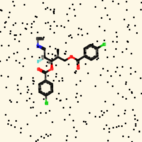 CON=C[C@@H](F)[C@H](OC(=O)c1ccc(Cl)cc1)[C@@H](C)COC(=O)c1ccc(Cl)cc1